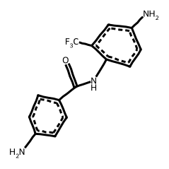 Nc1ccc(C(=O)Nc2ccc(N)cc2C(F)(F)F)cc1